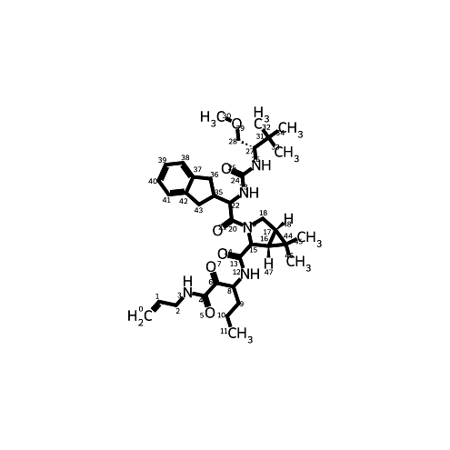 C=CCNC(=O)C(=O)C(CCC)NC(=O)C1[C@@H]2[C@H](CN1C(=O)C(NC(=O)N[C@H](COC)C(C)(C)C)C1Cc3ccccc3C1)C2(C)C